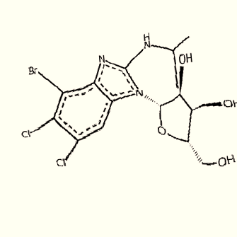 CC(C)Nc1nc2c(Br)c(Cl)c(Cl)cc2n1[C@H]1O[C@@H](CO)[C@H](O)[C@@H]1O